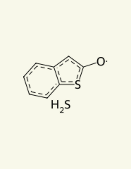 S.[O]c1cc2ccccc2s1